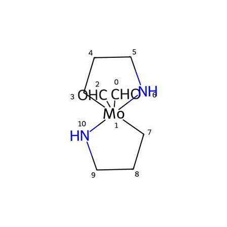 O=[CH][Mo]12([CH]=O)([CH2]CC[NH]1)[CH2]CC[NH]2